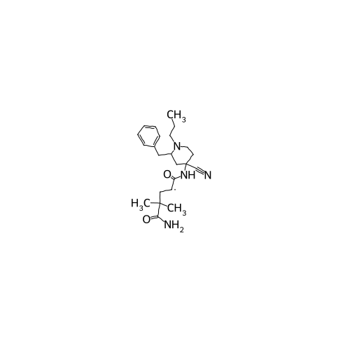 CCCN1CCC(C#N)(NC(=O)[CH]CC(C)(C)C(N)=O)CC1Cc1ccccc1